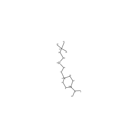 CC(C)N1CCN(CCOCCC(C)(C)C)CC1